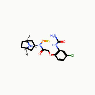 NC(=O)Nc1cc(Cl)ccc1OCC(=O)N(P=S)[C@@H]1C[C@H]2CC[C@@H](C1)N2